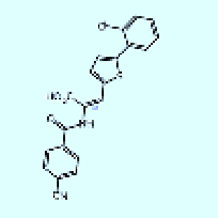 N#Cc1ccc(C(=O)N/C(=C/c2ccc(-c3ccccc3Cl)s2)C(=O)O)cc1